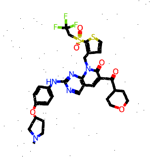 CN1CCC(Oc2ccc(Nc3ncc4cc(C(=O)C5CCOCC5)c(=O)n(Cc5ccsc5S(=O)(=O)CC(F)(F)F)c4n3)cc2)C1